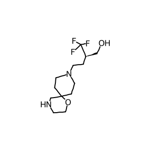 OC[C@@H](CCN1CCC2(CC1)CNCCO2)C(F)(F)F